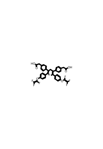 CC(=C(CC(=C(F)c1ccc(OC(F)=C(F)F)cc1)c1ccc(CC(=O)O)cc1)c1ccc(CC(=O)O)cc1)c1ccc(OC(F)=C(F)F)cc1